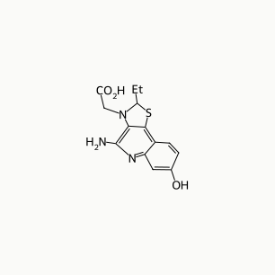 CCC1Sc2c(c(N)nc3cc(O)ccc23)N1CC(=O)O